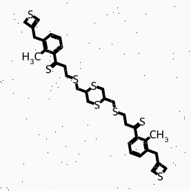 Cc1c(CC2=CSC2)cccc1C(=S)CCSCC1CSC(CSCCC(=S)c2cccc(CC3=CSC3)c2C)CS1